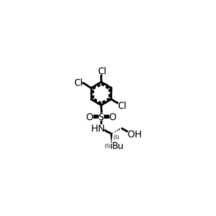 CC[C@H](C)[C@@H](CO)NS(=O)(=O)c1cc(Cl)c(Cl)cc1Cl